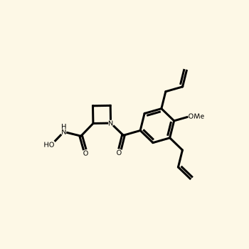 C=CCc1cc(C(=O)N2CCC2C(=O)NO)cc(CC=C)c1OC